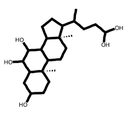 CC(CCC(O)O)C1CCC2C3C(O)C(O)C4CC(O)CC[C@]4(C)C3CC[C@]12C